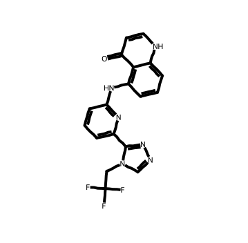 O=c1cc[nH]c2cccc(Nc3cccc(-c4nncn4CC(F)(F)F)n3)c12